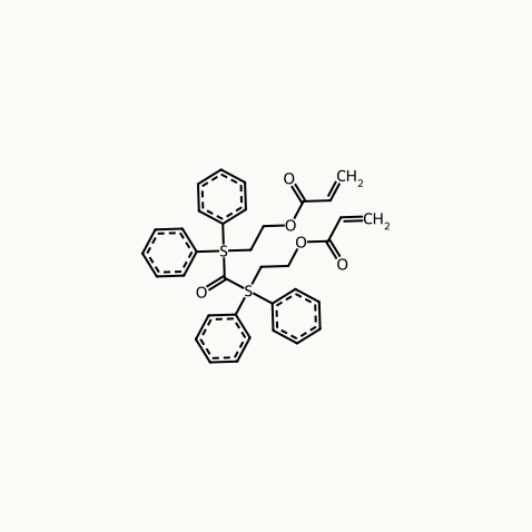 C=CC(=O)OCCS(C(=O)S(CCOC(=O)C=C)(c1ccccc1)c1ccccc1)(c1ccccc1)c1ccccc1